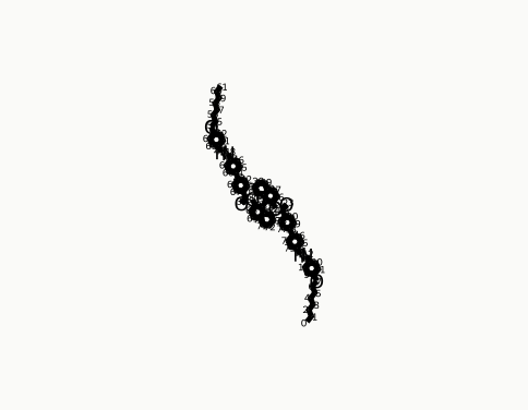 CCCCCCCOc1ccc(/N=N/c2ccc(-c3ccc(C(=O)Oc4ccc5ccccc5c4-c4c(OC(=O)c5ccc(-c6ccc(/N=N/c7ccc(OCCCCCCC)cc7)cc6)cc5)ccc5ccccc45)cc3)cc2)cc1